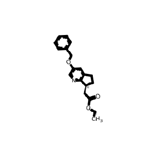 CCOC(=O)C[C@@H]1CCc2cc(OCc3ccccc3)cnc21